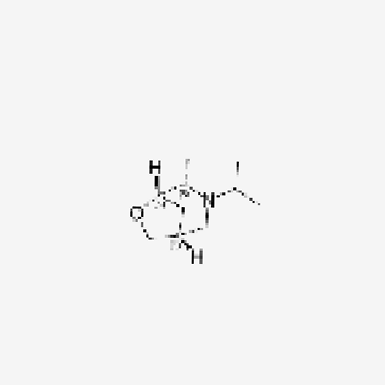 CC(C)N1C[C@@H]2CO[C@@H](C2)[C@@H]1C